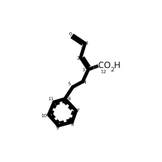 C=CC=C(CCc1ccccc1)C(=O)O